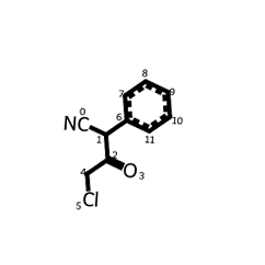 N#CC(C(=O)CCl)c1ccccc1